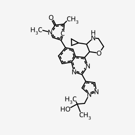 Cc1cc(-c2ccc3nc(-c4cnn(CC(C)(C)O)c4)nc(C4OCCNC4C4CC4)c3c2)cn(C)c1=O